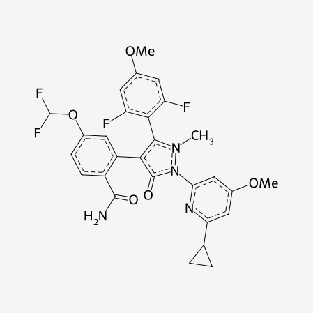 COc1cc(C2CC2)nc(-n2c(=O)c(-c3cc(OC(F)F)ccc3C(N)=O)c(-c3c(F)cc(OC)cc3F)n2C)c1